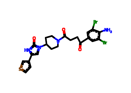 Nc1c(Br)cc(C(=O)CCC(=O)N2CCC(n3cc(-c4ccsc4)[nH]c3=O)CC2)cc1Br